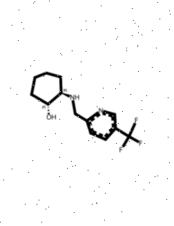 O[C@@H]1CCCC[C@H]1NCc1ccc(C(F)(F)F)cn1